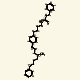 CN(CCCOc1ccccc1)CCOc1ccc(CCCCNC(=O)OCc2ccccc2)cc1